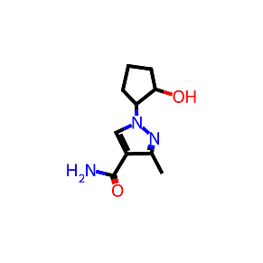 Cc1nn(C2CCCC2O)cc1C(N)=O